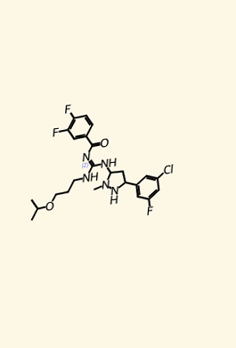 CC(C)OCCCN/C(=N/C(=O)c1ccc(F)c(F)c1)NC1CC(c2cc(F)cc(Cl)c2)NN1C